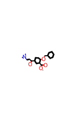 COC(=O)c1cc(C(=O)C=CN(C)C)ccc1OCc1ccccc1